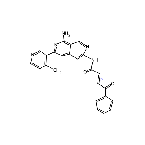 Cc1ccncc1-c1cc2cc(NC(=O)/C=C/C(=O)c3ccccc3)ncc2c(N)n1